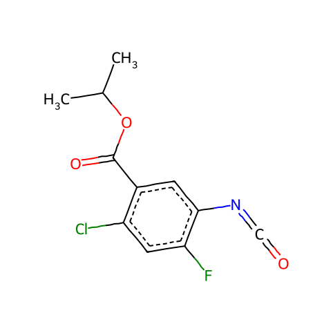 CC(C)OC(=O)c1cc(N=C=O)c(F)cc1Cl